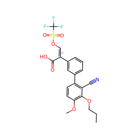 CCCOc1c(OC)ccc(-c2cccc(/C(=C/OS(=O)(=O)C(F)(F)F)C(=O)O)c2)c1C#N